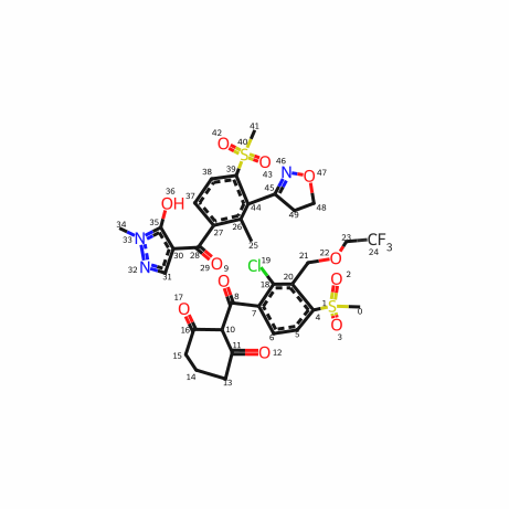 CS(=O)(=O)c1ccc(C(=O)C2C(=O)CCCC2=O)c(Cl)c1COCC(F)(F)F.Cc1c(C(=O)c2cnn(C)c2O)ccc(S(C)(=O)=O)c1C1=NOCC1